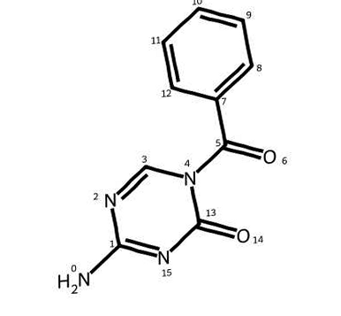 Nc1ncn(C(=O)c2ccccc2)c(=O)n1